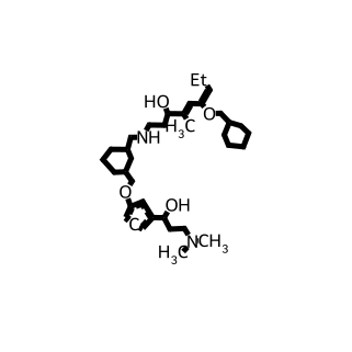 CC/C=C(\C=C(/C)C(O)CCNCC1CCCC(COc2cccc(C(O)CCN(C)C)c2)C1)OCC1CCCCC1